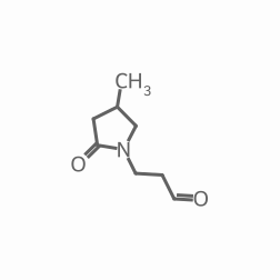 CC1CC(=O)N(CCC=O)C1